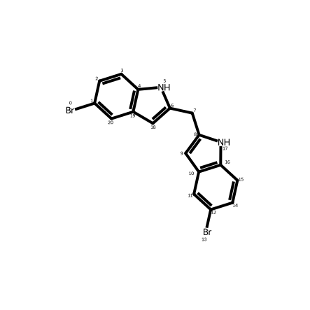 Brc1ccc2[nH]c(Cc3cc4cc(Br)ccc4[nH]3)cc2c1